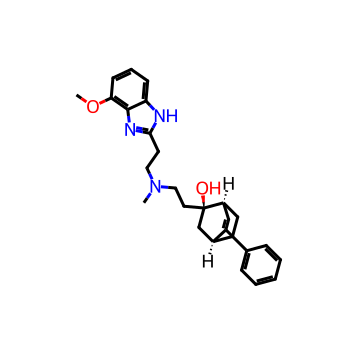 COc1cccc2[nH]c(CCN(C)CC[C@@]3(O)C[C@@H]4CC[C@H]3C=C4c3ccccc3)nc12